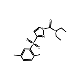 CCN(CC)C(=O)n1ccc(S(=O)(=O)c2cc(C)ccc2C)n1